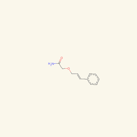 NC(=O)COCC=Cc1ccccc1